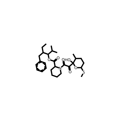 CCC(Cc1ccccc1)C(OC(=O)C1CCCCN1C(=O)C(=O)C1(O)OC(SC)CCC1C)C(C)C